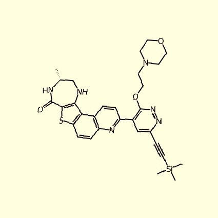 C[C@@H]1CNc2c(sc3ccc4nc(-c5cc(C#C[Si](C)(C)C)nnc5OCCN5CCOCC5)ccc4c23)C(=O)N1